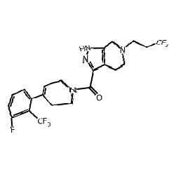 O=C(c1n[nH]c2c1CCN(CCC(F)(F)F)C2)N1CC=C(c2cccc(F)c2C(F)(F)F)CC1